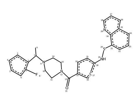 CC(c1ccccc1F)N1CCN(C(=O)c2ccc(NSc3cccc4cccnc34)cc2)CC1